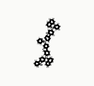 c1ccc(N(c2ccc3c(c2)sc2cc(N(c4ccccc4)c4cccc5ccccc45)ccc23)c2ccc3c(c2)sc2cc(N(c4ccc5c(c4)sc4ccccc45)c4cccc5ccccc45)ccc23)cc1